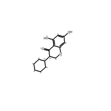 O=C1c2c(O)cc(O)cc2OCC1C1CCCCC1